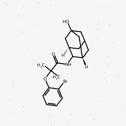 CC(C)(Oc1ccccc1Br)C(=O)NC1[C@@H]2CC3C[C@H]1CC(O)(C3)C2